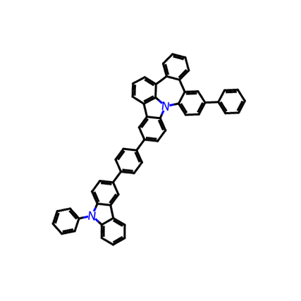 c1ccc(-c2ccc3c(c2)-c2ccccc2-c2cccc4c5cc(-c6ccc(-c7ccc8c(c7)c7ccccc7n8-c7ccccc7)cc6)ccc5n-3c24)cc1